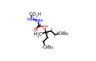 CC(C)COCCC(C)(CCOCC(C)C)OC(=O)NNC(=O)O